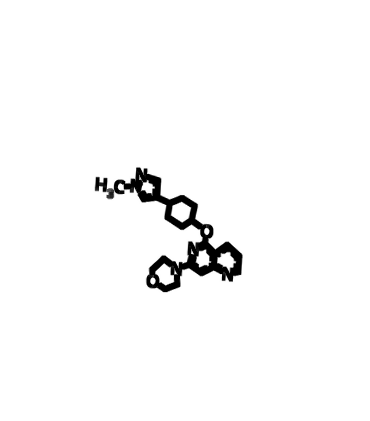 Cn1cc(C2CCC(Oc3nc(N4CCOCC4)cc4ncccc34)CC2)cn1